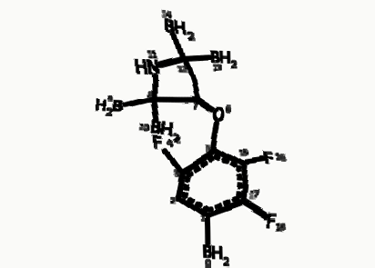 Bc1cc(F)c(OC2C(B)(B)NC2(B)B)c(F)c1F